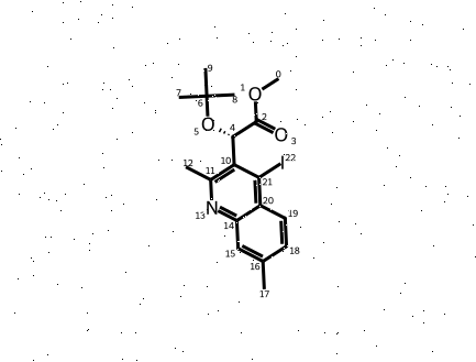 COC(=O)[C@@H](OC(C)(C)C)c1c(C)nc2cc(C)ccc2c1I